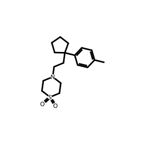 Cc1ccc(C2(CCN3CCS(=O)(=O)CC3)CCCC2)cc1